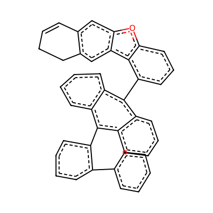 C1=Cc2cc3oc4cccc(-c5c6ccccc6c(-c6ccccc6-c6ccccc6)c6ccccc56)c4c3cc2CC1